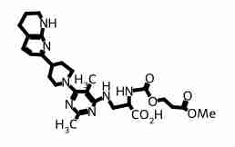 COC(=O)CCOC(=O)NC(CNc1nc(C)nc(N2CCC(c3ccc4c(n3)NCCC4)CC2)c1C)C(=O)O